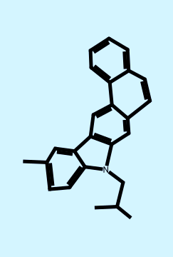 Cc1ccc2c(c1)c1cc3c(ccc4ccccc43)cc1n2CC(C)C